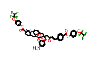 Nc1ccc(CC(CC(=O)/C=C/c2ccc(C(=O)Oc3ccc(OC(F)(F)C(F)F)cc3)cc2)(Cc2ccc(N)cc2)C(O)(O)C(=O)/C=C/c2ccc(C(=O)Oc3ccc(OC(F)(F)C(F)F)cc3)cc2)cc1